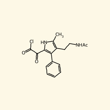 CC(=O)NCCc1c(C)[nH]c(C(=O)C(=O)Cl)c1-c1ccccc1